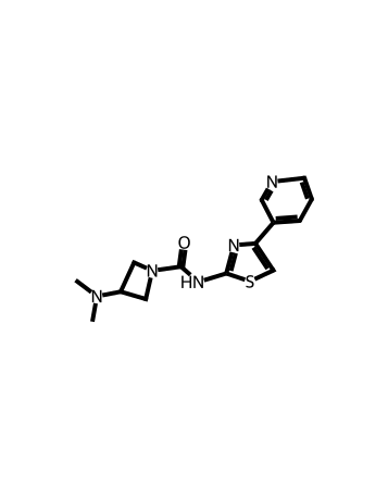 CN(C)C1CN(C(=O)Nc2nc(-c3cccnc3)cs2)C1